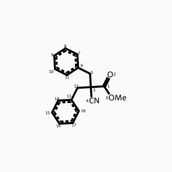 COC(=O)C(C#N)(Cc1ccccc1)Cc1ccccc1